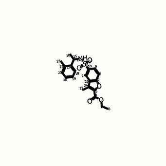 CCOC(=O)c1oc2ccc(S(=O)(=O)NC(C)c3ccccc3C)cc2c1C